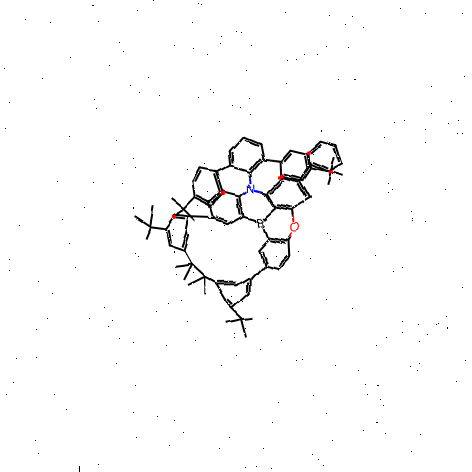 CC(C)(C)c1ccc(-c2cccc(-c3ccc(C(C)(C)C)cc3)c2N2c3ccc4cc3B3c5cc(ccc5Oc5cc(-c6ccccc6)cc2c53)-c2cc(C(C)(C)C)cc(c2)C(C)(C)C(C)(C)c2cc-4cc(C(C)(C)C)c2)cc1